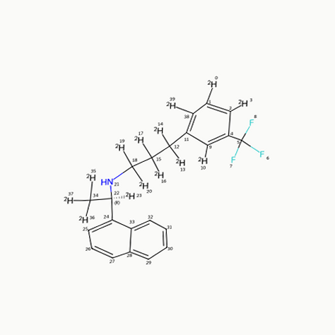 [2H]c1c([2H])c(C(F)(F)F)c([2H])c(C([2H])([2H])C([2H])([2H])C([2H])([2H])N[C@@]([2H])(c2cccc3ccccc23)C([2H])([2H])[2H])c1[2H]